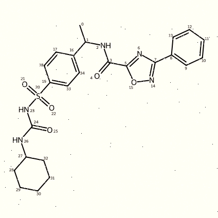 CC(NC(=O)c1nc(-c2ccccc2)no1)c1ccc(S(=O)(=O)NC(=O)NC2CCCCC2)cc1